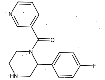 O=C(c1cccnc1)N1CCNCC1c1ccc(F)cc1